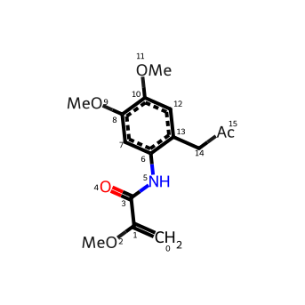 C=C(OC)C(=O)Nc1cc(OC)c(OC)cc1CC(C)=O